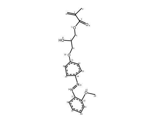 C=C(C)C(=O)OCC(O)COc1ccc(N=Nc2ccccc2OC)cc1